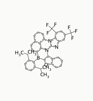 CC(C)c1cccc(C(C)C)c1B1c2oc3ccccc3c2-n2c3c1ccc1cccc(c13)n1c3c(C(F)(F)F)cc(C(F)(F)F)cc3nc21